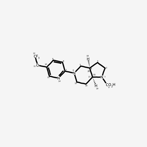 O=C(O)N1CC[C@@H]2CN(c3ccc(OC(F)(F)F)cn3)CC[C@@H]21